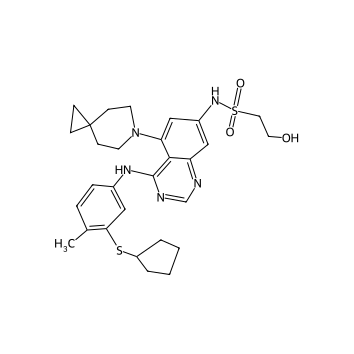 Cc1ccc(Nc2ncnc3cc(NS(=O)(=O)CCO)cc(N4CCC5(CC4)CC5)c23)cc1SC1CCCC1